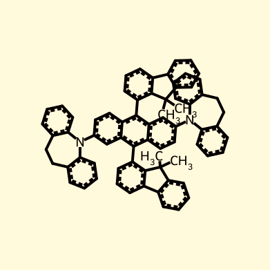 CC1(C)c2ccccc2-c2cccc(-c3c4ccc(N5c6ccccc6CCc6ccccc65)cc4c(-c4cccc5c4C(C)(C)c4ccccc4-5)c4ccc(N5c6ccccc6CCc6ccccc65)cc34)c21